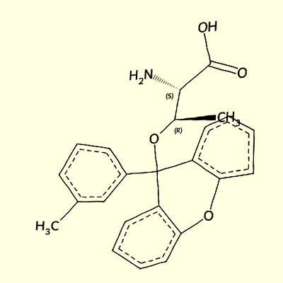 Cc1cccc(C2(O[C@H](C)[C@H](N)C(=O)O)c3ccccc3Oc3ccccc32)c1